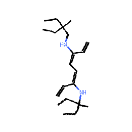 C=C/C(=C\C=C(/C=C)NC(C)(CC)CC)NCC(C)(CC)CC